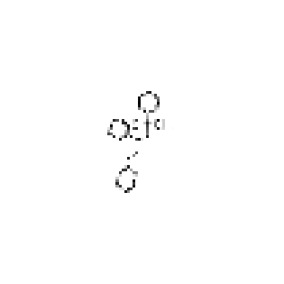 CC(C)(CC(CCc1ccccc1)c1ccccc1)c1ccccc1